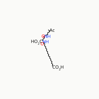 CC(=O)[C@@H](C)CCCCNC(=O)CCC(NC(=O)CCCCCCCCCCCCCCCCCCC(=O)O)C(=O)O